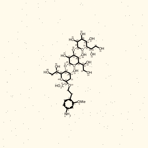 COc1cc(N)ccc1CCO[C@]1(C(=O)O)C[C@@H](O)[C@@H](O[C@H]2OC([C@@H](O)CO)[C@@H](O)[C@H](O[C@H]3O[C@@H]([C@@H](O)CO)[C@@H](O)C(O)C3O)C2O)C([C@H](O)CO)O1